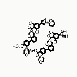 COC(=O)c1ccc(-c2cccc3c2OCN(C(=O)c2c(Cl)cc(B(O)O)cc2Cl)C3)cc1N1CCOCC1.O=C(O)c1ccc(-c2cccc3c2OCN(C(=O)c2c(Cl)cc(-c4cnn(C5CCCCO5)c4)cc2Cl)C3)cc1N1CCOCC1